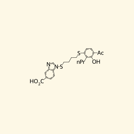 CCCc1c(SCCCCSn2cnc3cc(C(=O)O)ccc32)ccc(C(C)=O)c1O